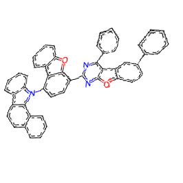 c1ccc(-c2ccc3oc4nc(-c5ccc(-n6c7ccccc7c7ccc8ccccc8c76)c6c5oc5ccccc56)nc(-c5ccccc5)c4c3c2)cc1